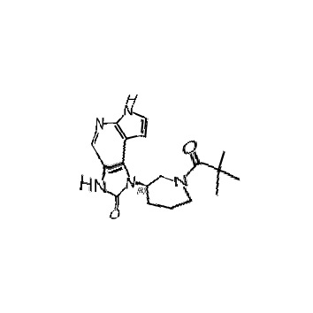 CC(C)(C)C(=O)N1CCC[C@@H](n2c(=O)[nH]c3cnc4[nH]ccc4c32)C1